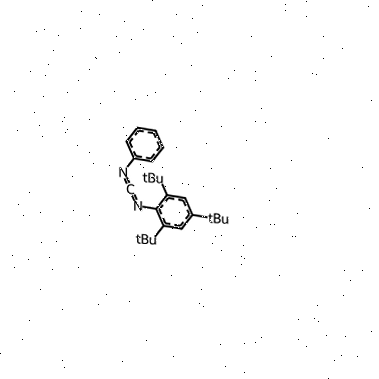 CC(C)(C)c1cc(C(C)(C)C)c(N=C=Nc2ccccc2)c(C(C)(C)C)c1